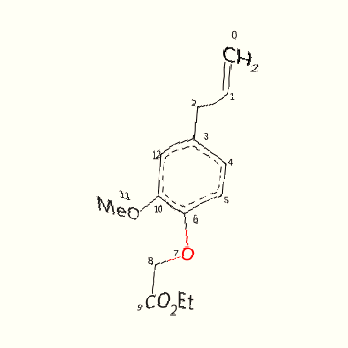 C=CCc1ccc(OCC(=O)OCC)c(OC)c1